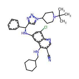 CC(C)(C)N1CCC(n2cc([C@@H](Nc3cc(Cl)c4ncc(C#N)c(NCC5CCCCC5)c4c3)c3ccccc3)nn2)CC1